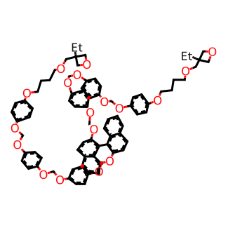 CCC1(COCCCCOc2ccc(OCOc3ccc(OCOc4ccc(OCOc5ccc6ccccc6c5-c5c(OCOc6ccc(OCOc7ccc(OCOc8ccc(OCCCCOCC9(CC)COC9)cc8)cc7)cc6)ccc6ccccc56)cc4)cc3)cc2)COC1